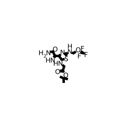 CC(C)(C)OC(=O)CNC1SC(NCOC(F)(F)F)=NC1C(=N)C(N)=O